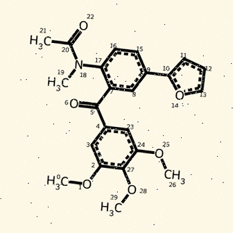 COc1cc(C(=O)c2cc(-c3ccco3)ccc2N(C)C(C)=O)cc(OC)c1OC